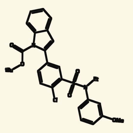 CCN(c1cccc(OC)c1)S(=O)(=O)c1cc(-c2cc3ccccc3n2C(=O)OC(C)(C)C)ccc1Cl